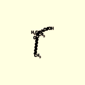 CCCCCCCCCCCC(=O)OCC(C)(C)C=NCCOCCO